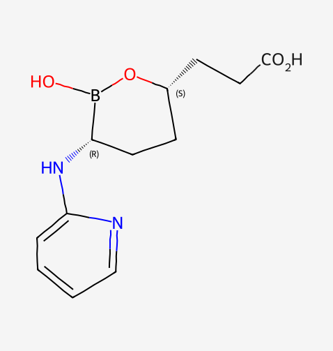 O=C(O)CC[C@@H]1CC[C@H](Nc2ccccn2)B(O)O1